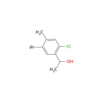 Cc1cc(Cl)c(C(C)O)cc1C(C)C